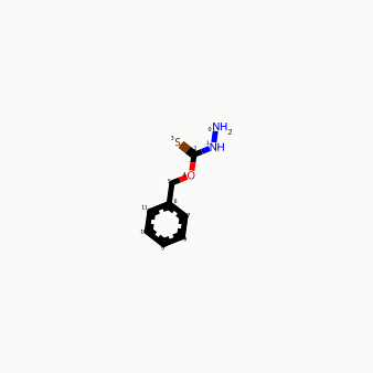 NNC(=S)OCc1ccccc1